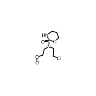 O=P1(N(CCCl)CCOCl)NCCCO1